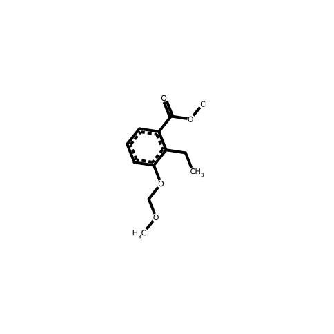 CCc1c(OCOC)cccc1C(=O)OCl